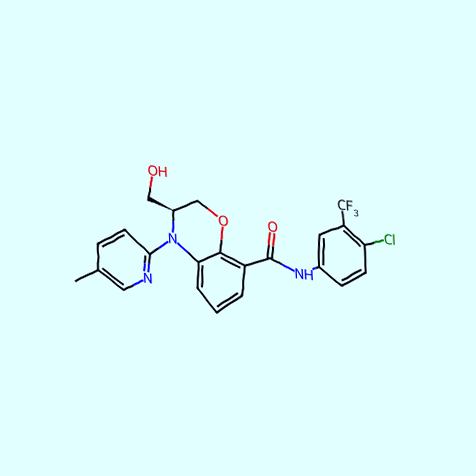 Cc1ccc(N2c3cccc(C(=O)Nc4ccc(Cl)c(C(F)(F)F)c4)c3OC[C@@H]2CO)nc1